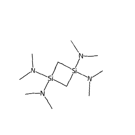 CN(C)[Si]1(N(C)C)C[Si](N(C)C)(N(C)C)C1